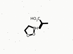 B1CCOO1.C=C(C)C(=O)O